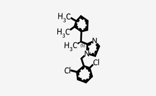 Cc1cccc([C@H](C)c2nccn2Cc2c(Cl)cccc2Cl)c1C